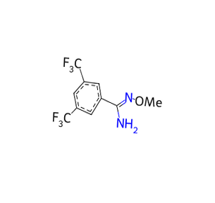 CON=C(N)c1cc(C(F)(F)F)cc(C(F)(F)F)c1